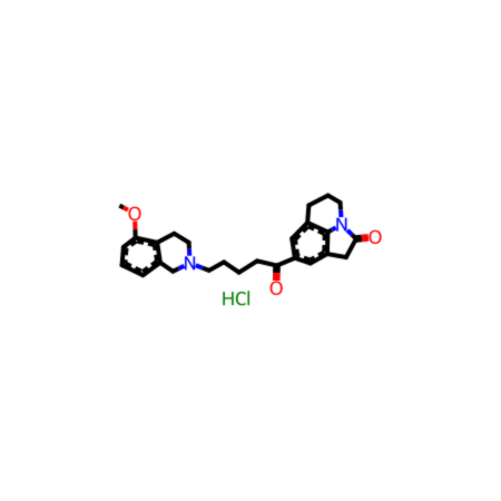 COc1cccc2c1CCN(CCCCC(=O)c1cc3c4c(c1)CC(=O)N4CCC3)C2.Cl